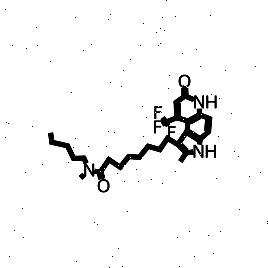 CCCCCN(C)C(=O)CCCCCCCc1c(C)[nH]c2ccc3[nH]c(=O)cc(C(F)(F)F)c3c12